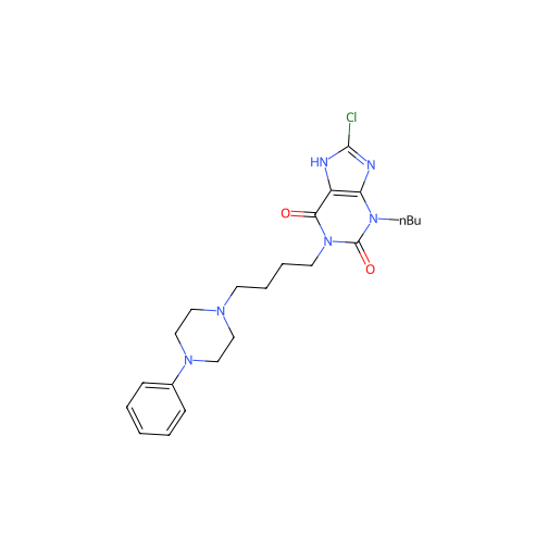 CCCCn1c(=O)n(CCCCN2CCN(c3ccccc3)CC2)c(=O)c2[nH]c(Cl)nc21